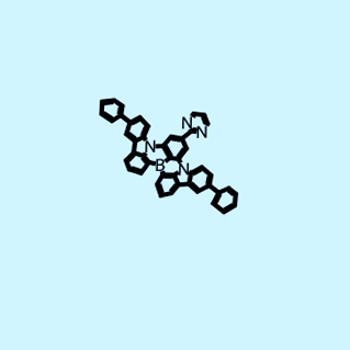 c1ccc(-c2ccc3c(c2)c2cccc4c2n3-c2cc(-c3ncccn3)cc3c2B4c2cccc4c5cc(-c6ccccc6)ccc5n-3c24)cc1